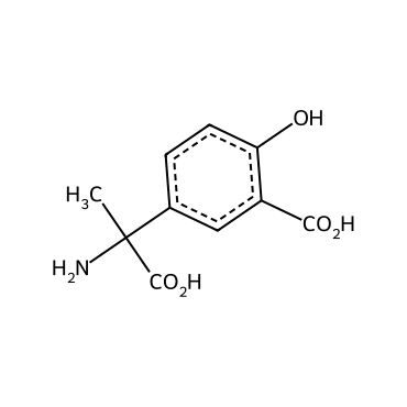 CC(N)(C(=O)O)c1ccc(O)c(C(=O)O)c1